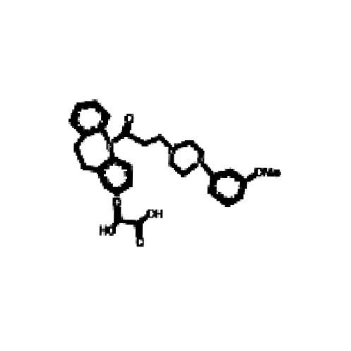 COc1cccc(N2CCN(CCC(=O)N3c4ccccc4CCc4ccccc43)CC2)c1.O=C(O)C(=O)O